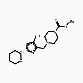 CC(C)(C)OC(=O)N1CCN(Cc2nn([C@H]3CCCCO3)cc2O)CC1